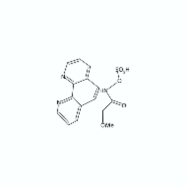 COCC(=O)NOS(=O)(=O)O.c1cnc2c(c1)ccc1cccnc12